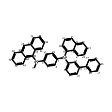 CN(c1ccc(N(c2cccc(-c3ccccc3)c2)c2cccc3ccccc23)cc1)c1c2ccccc2cc2ccccc12